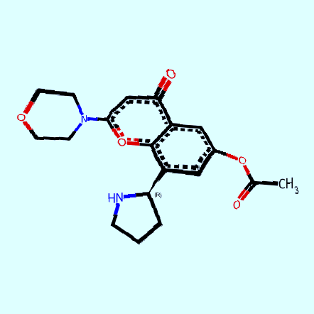 CC(=O)Oc1cc([C@H]2CCCN2)c2oc(N3CCOCC3)cc(=O)c2c1